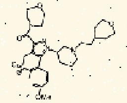 C=C(/C=C\C1=C(C)S(=O)(=O)Cc2c(C(=O)N3CCOCC3)nn([C@@H]3CCCN(CCC4CCOCC4)C3)c21)OC